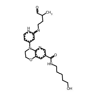 CC(C=O)CC/N=c1/cc(N2CCOc3cc(C(=O)NCCCCCO)cnc32)cc[nH]1